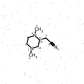 CN1CCN(C)[C@@H](CC#N)C1